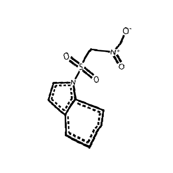 O=[N+]([O-])CS(=O)(=O)n1ccc2ccccc21